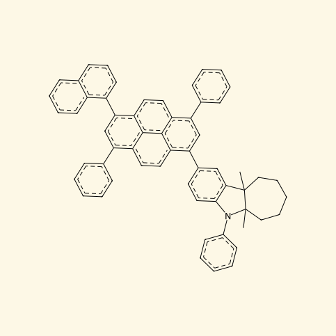 CC12CCCCCC1(C)N(c1ccccc1)c1ccc(-c3cc(-c4ccccc4)c4ccc5c(-c6cccc7ccccc67)cc(-c6ccccc6)c6ccc3c4c65)cc12